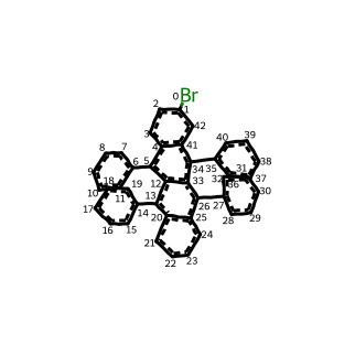 Brc1ccc2c(-c3ccccc3)c3c(-c4ccccc4)c4ccccc4c(-c4ccccc4)c3c(-c3ccccc3)c2c1